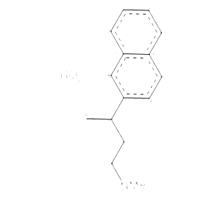 CNCCC(C)c1ccc2ccccc2c1.Cl